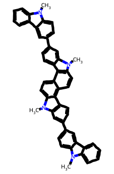 Cn1c2ccccc2c2cc(-c3ccc4c5c6ccc7c(c6ccc5n(C)c4c3)c3ccc(-c4ccc5c(c4)c4ccccc4n5C)cc3n7C)ccc21